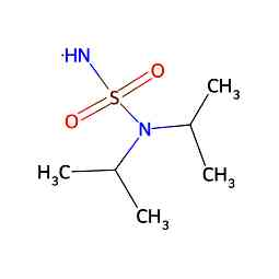 CC(C)N(C(C)C)S([NH])(=O)=O